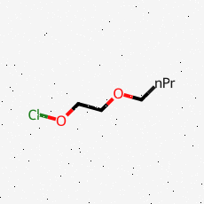 CCCCOCCOCl